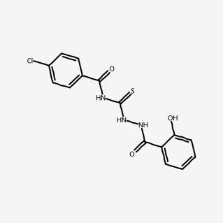 O=C(NC(=S)NNC(=O)c1ccccc1O)c1ccc(Cl)cc1